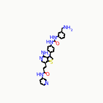 NCc1cccc(NC(=O)Nc2ccc(-c3csc4c(C=CC(=O)Nc5cccnc5)cnc(N)c34)cc2)c1